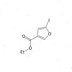 CCOC(=O)c1coc(I)c1